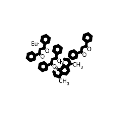 Cc1ccnc2c1ccc1c(C)ccnc12.O=C(CC(=O)c1ccccc1)c1ccccc1.O=C(CC(=O)c1ccccc1)c1ccccc1.O=C(CC(=O)c1ccccc1)c1ccccc1.[Eu]